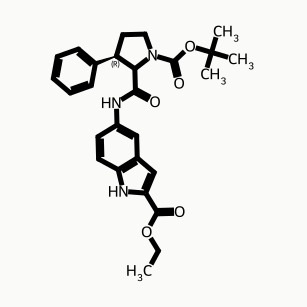 CCOC(=O)c1cc2cc(NC(=O)C3[C@@H](c4ccccc4)CCN3C(=O)OC(C)(C)C)ccc2[nH]1